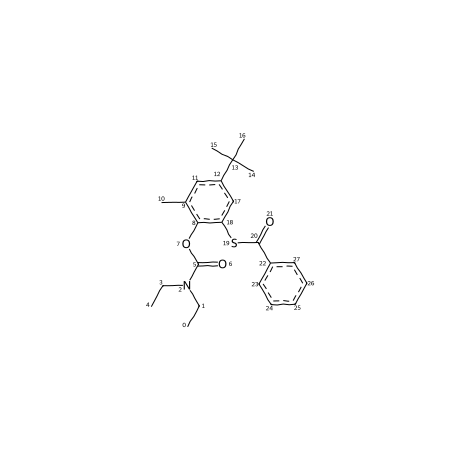 CCN(CC)C(=O)Oc1c(C)cc(C(C)(C)C)cc1SC(=O)c1ccccc1